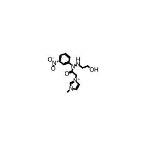 Cn1cc[n+](CC(=O)N(NCCO)c2cccc([N+](=O)[O-])c2)c1